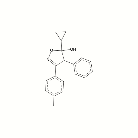 Cc1ccc(C2=NOC(O)(C3CC3)C2c2ccccc2)cc1